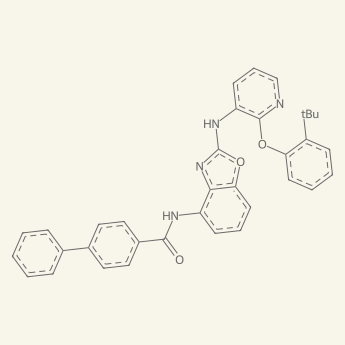 CC(C)(C)c1ccccc1Oc1ncccc1Nc1nc2c(NC(=O)c3ccc(-c4ccccc4)cc3)cccc2o1